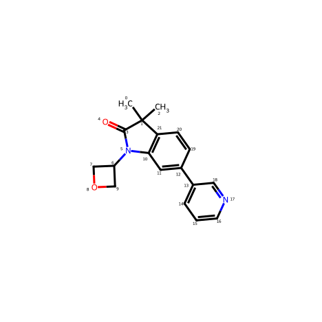 CC1(C)C(=O)N(C2COC2)c2cc(-c3cccnc3)ccc21